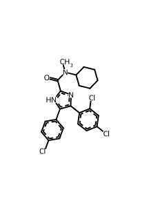 CN(C(=O)c1nc(-c2ccc(Cl)cc2Cl)c(-c2ccc(Cl)cc2)[nH]1)C1CCCCC1